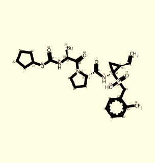 C=C[C@@H]1C[C@]1(NC(=O)[C@@H]1CCCN1C(=O)[C@@H](NC(=O)OC1CCCC1)C(C)(C)C)P(=O)(O)Cc1ccccc1C(F)(F)F